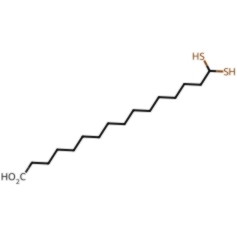 O=C(O)CCCCCCCCCCCCCCC(S)S